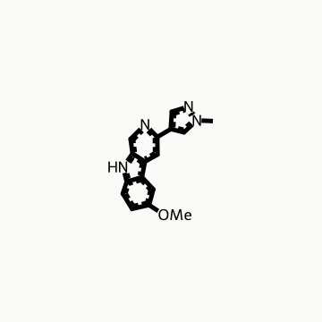 COc1ccc2[nH]c3cnc(-c4cnn(C)c4)cc3c2c1